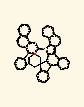 c1ccc(-c2nc(-n3c4c5c(c6ccccc6c4c4ccc6ccccc6c43)-c3ccccc3C53CCCCC3)nc3c2ccc2ccccc23)cc1